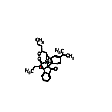 CCCC(=O)COc1cc(C(C)C)ccc1C1(NC(=O)CCC)C(=O)c2ccccc2C1=O